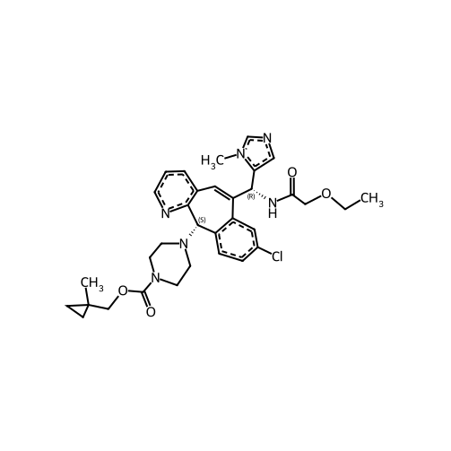 CCOCC(=O)N[C@H](C1=Cc2cccnc2[C@@H](N2CCN(C(=O)OCC3(C)CC3)CC2)c2ccc(Cl)cc21)c1cncn1C